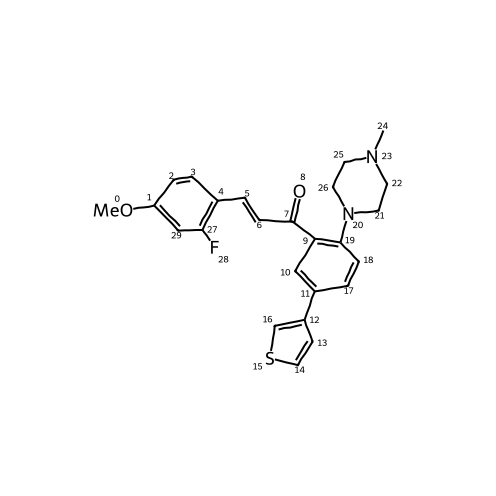 COc1ccc(C=CC(=O)c2cc(-c3ccsc3)ccc2N2CCN(C)CC2)c(F)c1